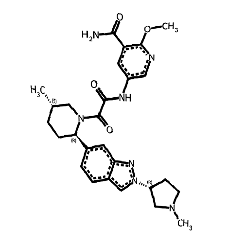 COc1ncc(NC(=O)C(=O)N2C[C@@H](C)CC[C@@H]2c2ccc3cn([C@@H]4CCN(C)C4)nc3c2)cc1C(N)=O